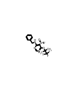 CC(C)(Oc1ncnc(NCc2ccccc2)c1[N+](=O)[O-])C(F)(F)F